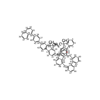 CC1(C)c2ccccc2-c2ccc(N(c3ccc4c(c3)C(C)(C)c3cc(-c5ccc(-c6cccc7ccccc67)cc5)ccc3-4)c3cccc4c3-c3ccccc3Cc3ccccc3-c3ccccc3C4)cc21